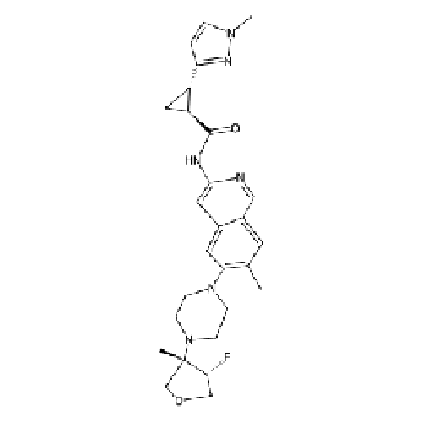 Cc1cc2cnc(NC(=O)[C@H]3C[C@@H]3c3ccn(C)n3)cc2cc1N1CCN([C@@]2(C)COC[C@H]2F)CC1